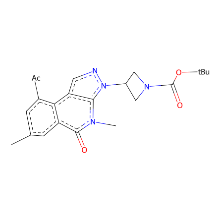 CC(=O)c1cc(C)cc2c(=O)n(C)c3c(cnn3C3CN(C(=O)OC(C)(C)C)C3)c12